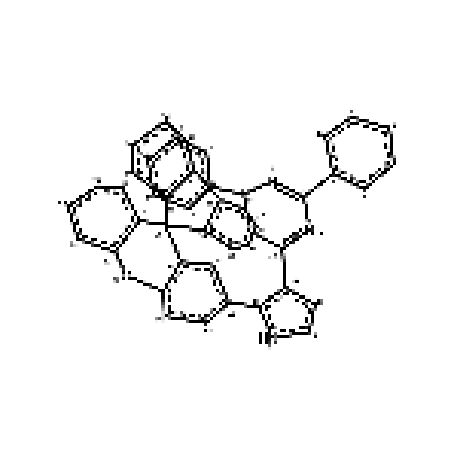 c1ccc(C2=NC(c3ccccc3)NC(c3cc[nH]c3-c3ccc4c(c3)C3(c5ccccc5O4)c4ccccc4-c4ccccc43)=N2)cc1